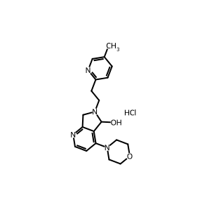 Cc1ccc(CCN2Cc3nccc(N4CCOCC4)c3C2O)nc1.Cl